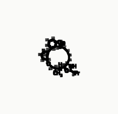 CC(C)CN[C@H]1CCCCS(=O)(=O)c2ccccc2-c2cccc(c2)OC[C@@H](C)NC1=O